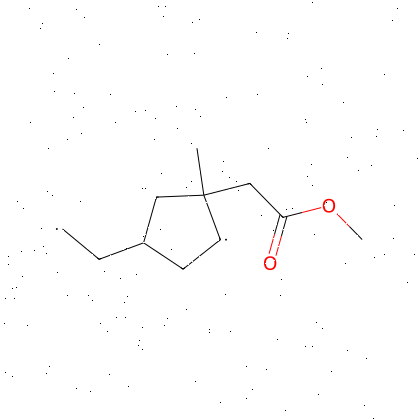 [CH2]CC1C[CH]C(C)(CC(=O)OC)C1